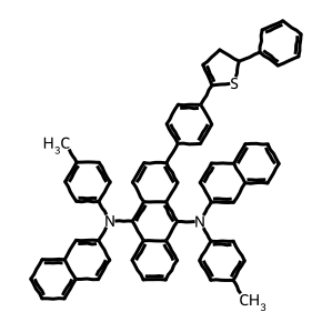 Cc1ccc(N(c2ccc3ccccc3c2)c2c3ccccc3c(N(c3ccc(C)cc3)c3ccc4ccccc4c3)c3cc(-c4ccc(C5=CCC(c6ccccc6)S5)cc4)ccc23)cc1